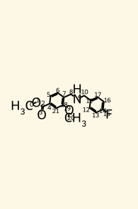 COC(=O)c1ccc(CNCc2ccc(F)cc2)c(OC)c1